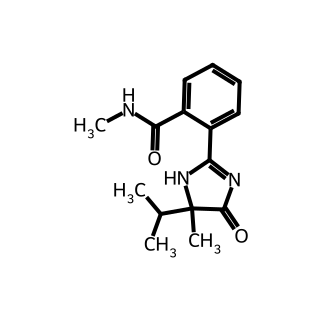 CNC(=O)c1ccccc1C1=NC(=O)C(C)(C(C)C)N1